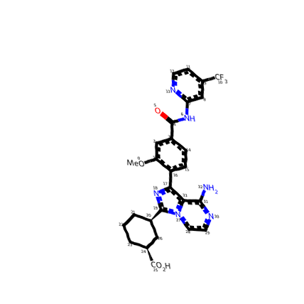 COc1cc(C(=O)Nc2cc(C(F)(F)F)ccn2)ccc1-c1nc([C@@H]2CCC[C@H](C(=O)O)C2)n2ccnc(N)c12